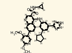 COc1ncc(-c2ccc3c(Nc4cc(-c5nn[nH]n5)cc(C5CCCC5)c4)c(S(=O)(=O)NC4CC4)cnc3c2)c(OC)n1